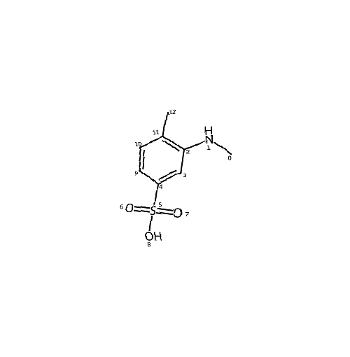 CNc1cc(S(=O)(=O)O)ccc1C